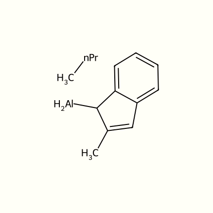 CC1=Cc2ccccc2[CH]1[AlH2].CCCC